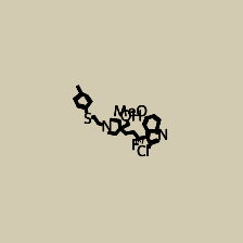 COc1ccc2ncc(Cl)c([C@H](F)CCC3(CO)CCN(CCSc4ccc(C)cc4)CC3)c2c1